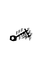 CC(F)(C(F)(F)C(F)(F)F)C(F)(F)C(F)(S)C(F)(F)C1CC2C=CC1C2